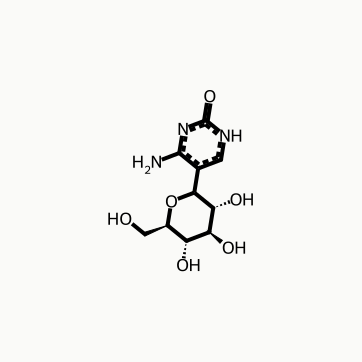 Nc1nc(=O)[nH]cc1C1O[C@H](CO)[C@@H](O)[C@H](O)[C@H]1O